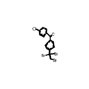 O=C(c1ccc(Cl)cc1)c1ccc(C(Br)(Br)CBr)cc1